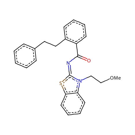 COCCn1c(=NC(=O)c2ccccc2CCc2ccccc2)sc2ccccc21